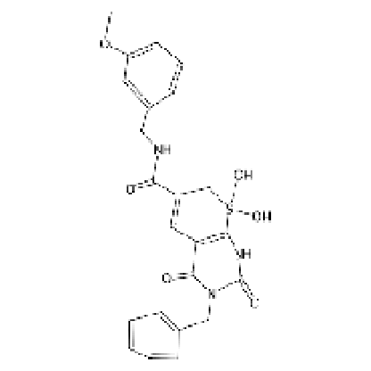 COc1cccc(CNC(=O)C2=Cc3c([nH]c(=O)n(Cc4ccccc4)c3=O)S(O)(O)C2)c1